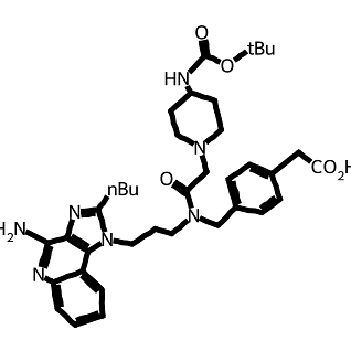 CCCCc1nc2c(N)nc3ccccc3c2n1CCCN(Cc1ccc(CC(=O)O)cc1)C(=O)CN1CCC(NC(=O)OC(C)(C)C)CC1